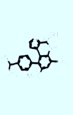 CNC(C)c1ccc(-c2c(OC)cc(C)c3c2-c2ccsc2[C@@H](O)N3)cc1